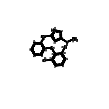 CSc1c[nH]c(Nc2ncccc2Sc2c(Cl)cccc2Cl)c1